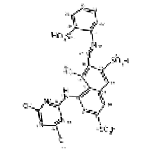 O=S(=O)(O)c1cc(Nc2nc(Cl)nc(Cl)n2)c2c(O)c(N=Nc3ccccc3S(=O)(=O)O)c(S(=O)(=O)O)cc2c1